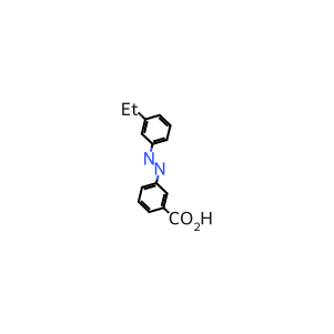 CCc1cccc(/N=N/c2cccc(C(=O)O)c2)c1